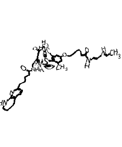 CCNCCNC(=O)CCCOc1cc(C)c(S(=O)(=O)N[C@@H](CNC(=O)CCCCc2ccc3c(n2)NCCC3)C(=O)OC)c(C)c1